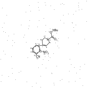 CC(C)(C)OC(=O)N1CC=C(c2ccnc(C#N)c2[N+](=O)[O-])CC1